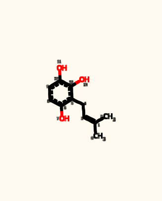 CC(C)=CCc1c(O)[c]cc(O)c1O